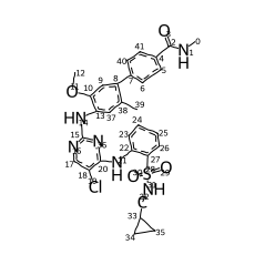 CNC(=O)c1ccc(-c2cc(OC)c(Nc3ncc(Cl)c(Nc4ccccc4S(=O)(=O)NCC4CC4)n3)cc2C)cc1